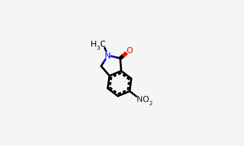 CN1Cc2ccc([N+](=O)[O-])cc2C1=O